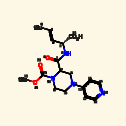 CC(C)(C)/C=C/[C@@H](NC(=O)C1CN(c2ccncc2)CCN1C(=O)OC(C)(C)C)C(=O)O